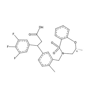 Cc1ccc(C(CC(=O)O)c2cc(F)c(F)c(F)c2)cc1CN1C[C@@H](C)Oc2ccccc2S1(=O)=O